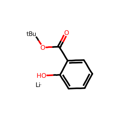 CC(C)(C)OC(=O)c1ccccc1O.[Li]